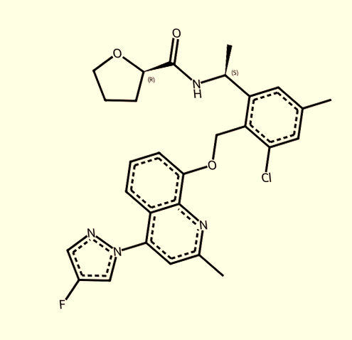 Cc1cc(Cl)c(COc2cccc3c(-n4cc(F)cn4)cc(C)nc23)c([C@H](C)NC(=O)[C@H]2CCCO2)c1